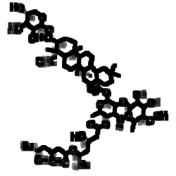 CC[C@H](C)[C@H](C[C@H](O)CC(=O)O[C@@H]1C(C)O[C@@H](OC(=O)[C@]23CCC(C)(C)CC2C2=CCC4[C@@]5(C)CC[C@H](OO[C@@H]6OC[C@@H](O)C(O)C6O)[C@@](C)(C=O)C5CC[C@@]4(C)[C@]2(C)C[C@H]3O)C(O[C@@H]2OC(C)[C@H](OO)C(O)C2O)C1O)OC(=O)C[C@@H](O)C[C@H](O)[C@@H](C)CC